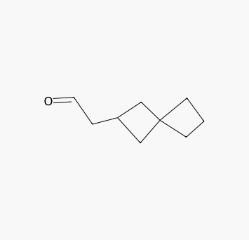 O=CCC1CC2(CCC2)C1